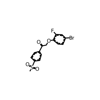 CS(=O)(=O)c1ccc(C(=O)COc2ccc(Br)cc2F)cc1